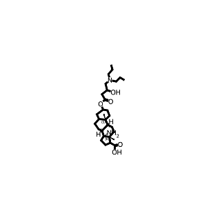 CCCN(CCC)CC(O)CC(=O)OC1CC[C@@]2(C)C(CC[C@@H]3[C@H]2CC[C@]2(C)C(C(=O)O)CC[C@@]32N)C1